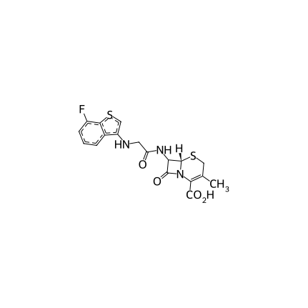 CC1=C(C(=O)O)N2C(=O)C(NC(=O)CNc3csc4c(F)cccc34)[C@@H]2SC1